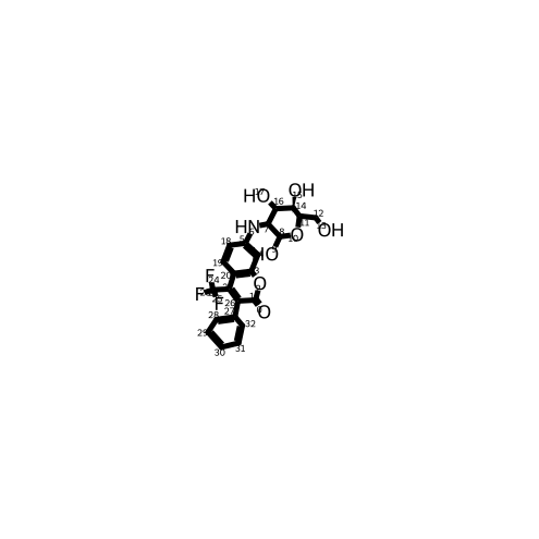 O=c1oc2cc(NC3C(O)OC(CO)[C@H](O)C3O)ccc2c(C(F)(F)F)c1-c1ccccc1